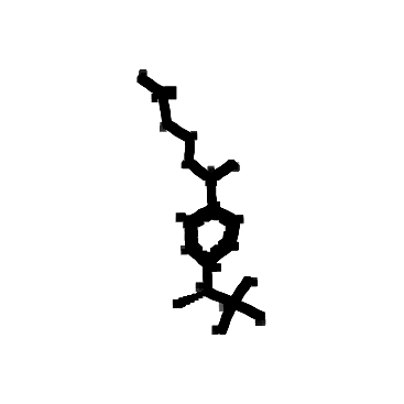 CNCCCN(C)c1ccc([C@@H](C)C(C)(C)C)cn1